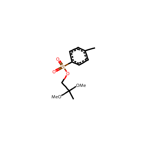 COC(C)(COS(=O)(=O)c1ccc(C)cc1)OC